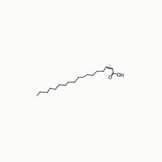 CCCCCCCCCCCCCCC/C=C\C(=O)O